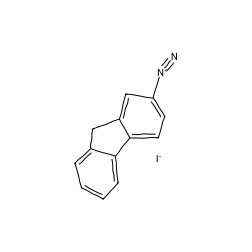 N#[N+]c1ccc2c(c1)Cc1ccccc1-2.[I-]